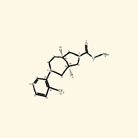 CC(C)(C)OC(=O)N1C[C@@H]2CCN(c3cnccc3C(F)(F)F)C[C@@H]2C1